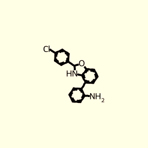 Nc1ccccc1-c1cccc2c1NC(c1ccc(Cl)cc1)O2